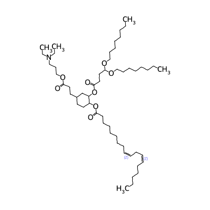 CCCCC/C=C\C/C=C\CCCCCCCC(=O)OC1CCC(CCC(=O)OCCCN(CC)CC)CC1OC(=O)CCC(OCCCCCCCC)OCCCCCCCC